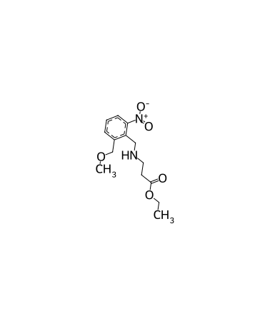 CCOC(=O)CCNCc1c(COC)cccc1[N+](=O)[O-]